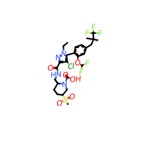 CCn1nc(C(=O)NCC2CCC(S(C)(=O)=O)CN2C(=O)O)c(Cl)c1-c1ccc(CC(C)(C)C(F)(F)F)cc1OC(F)F